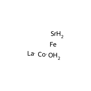 O.[Co].[Fe].[La].[SrH2]